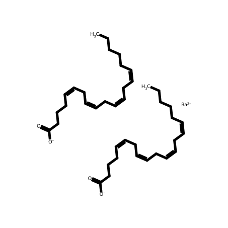 CCCCC/C=C\C/C=C\C/C=C\C/C=C\CCCC(=O)[O-].CCCCC/C=C\C/C=C\C/C=C\C/C=C\CCCC(=O)[O-].[Ba+2]